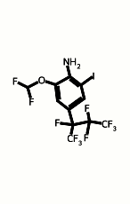 Nc1c(I)cc(C(F)(C(F)(F)F)C(F)(F)C(F)(F)F)cc1OC(F)F